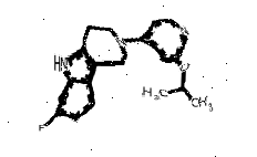 CC(C)Oc1cc(N2CCc3[nH]c4cc(F)ccc4c3C2)ccn1